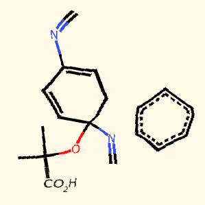 C=NC1=CCC(N=C)(OC(C)(C)C(=O)O)C=C1.c1ccccc1